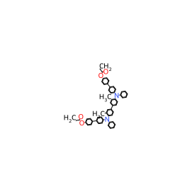 C=CC(=O)Oc1ccc(-c2ccc(N(c3ccccc3)c3ccc(-c4ccc(N(c5ccccc5)c5ccc(-c6ccc(OC(=O)C=C)cc6)cc5)c(C)c4)cc3C)cc2)cc1